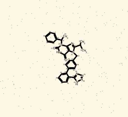 CC(C)c1nc2c(c(=O)[nH]c(=O)n2C(C)c2ccccc2)n1Cc1ccc(-c2ccccc2-c2nnn[nH]2)cc1